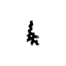 C/C=C/COc1cc(F)c(C(C)CC)c(F)c1